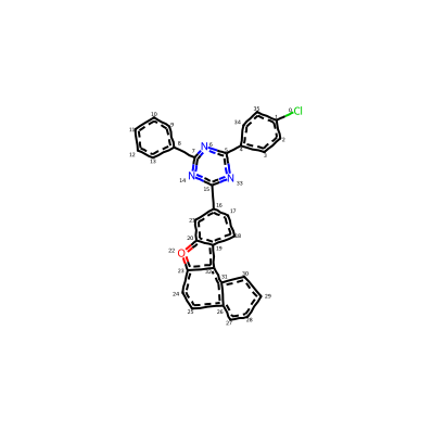 Clc1ccc(-c2nc(-c3ccccc3)nc(-c3ccc4c(c3)oc3ccc5ccccc5c34)n2)cc1